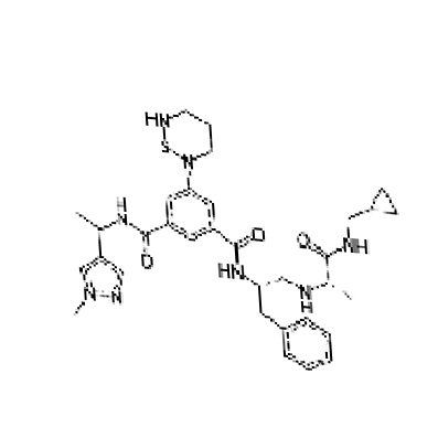 CC(NC(=O)c1cc(C(=O)N[C@H](CN[C@@H](C)C(=O)NCC2CC2)Cc2ccccc2)cc(N2CCCNS2)c1)c1cnn(C)c1